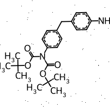 CC(C)(C)OC(=O)N(C(=O)OC(C)(C)C)c1ccc(Cc2ccc(N)cc2)cc1